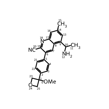 COC1(c2ccc(-c3cc4c(C(C)N)cc(C)cc4nc3C#N)cc2)COC1